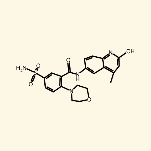 Cc1cc(O)nc2ccc(NC(=O)c3cc(S(N)(=O)=O)ccc3N3CCOCC3)cc12